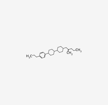 C=C(CCC)CC1CCC(C2CCC(c3ccc(CCC)cc3)CC2)CC1